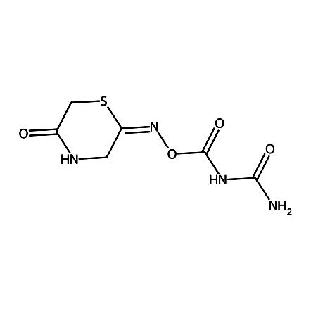 NC(=O)NC(=O)ON=C1CNC(=O)CS1